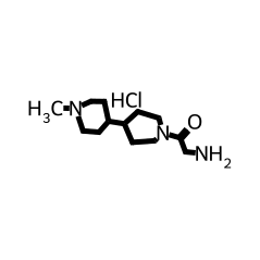 CN1CCC(C2CCN(C(=O)CN)CC2)CC1.Cl